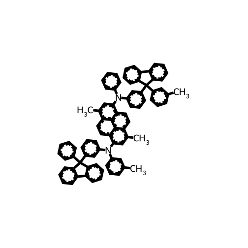 Cc1cccc(N(c2cccc(C3(c4ccccc4)c4ccccc4-c4ccccc43)c2)c2cc(C)c3ccc4c(N(c5ccccc5)c5cccc(C6(c7cccc(C)c7)c7ccccc7-c7ccccc76)c5)cc(C)c5ccc2c3c54)c1